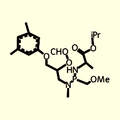 COCP(NC(C)C(=O)OC(C)C)N(C)CC(COc1cc(C)cc(C)c1)OC=O